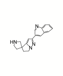 c1ccc2ncc(-c3cc4n(n3)CCC43CCNC3)cc2c1